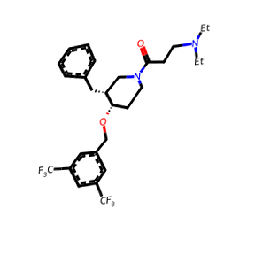 CCN(CC)CCC(=O)N1CC[C@H](OCc2cc(C(F)(F)F)cc(C(F)(F)F)c2)[C@H](Cc2ccccc2)C1